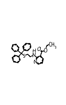 CCOC(=O)c1cccnc1NCCSC(c1ccccc1)(c1ccccc1)c1ccccc1